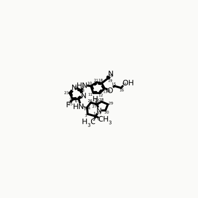 CC1(C)C[C@H](Nc2nc(Nc3ccc(OCCO)c(C#N)c3)ncc2F)C[C@H]2CCCN21